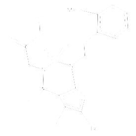 CCCCOC(=O)CN1C(=O)c2c(sc(Br)c2C)N(CCc2ccccc2OC)S1(=O)=O